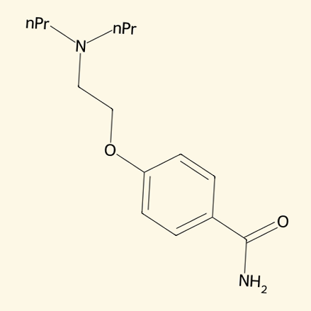 CCCN(CCC)CCOc1ccc(C(N)=O)cc1